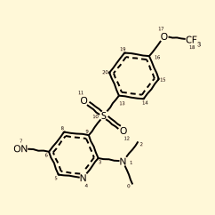 CN(C)c1ncc(N=O)cc1S(=O)(=O)c1ccc(OC(F)(F)F)cc1